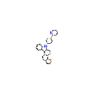 c1ccc(-c2ccc(-n3c4ccccc4c4c5ccc6ccsc6c5ccc43)cc2)nc1